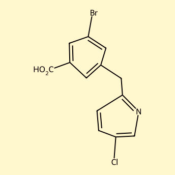 O=C(O)c1cc(Br)cc(Cc2ccc(Cl)cn2)c1